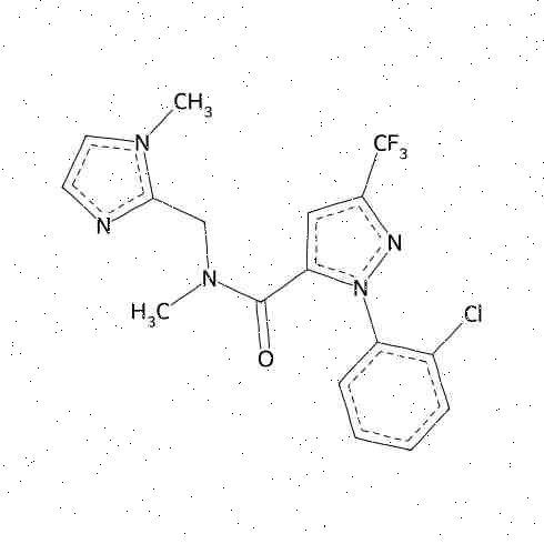 CN(Cc1nccn1C)C(=O)c1cc(C(F)(F)F)nn1-c1ccccc1Cl